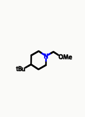 COCN1CCC(C(C)(C)C)CC1